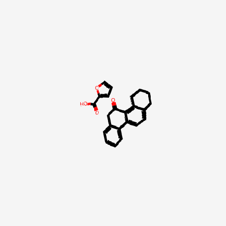 O=C(O)c1ccco1.O=C1Cc2ccccc2-c2ccc3c(c21)CCCC3